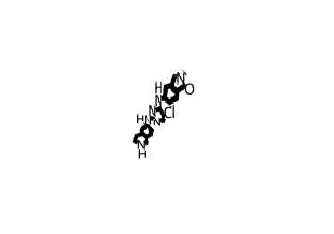 CN1Cc2cc(Nc3nc(Nc4ccc5c(c4)CCNC5)ncc3Cl)ccc2C1=O